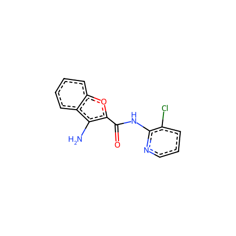 Nc1c(C(=O)Nc2ncccc2Cl)oc2ccccc12